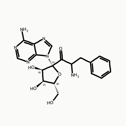 Nc1ncnc2c1ncn2[C@]1(C(=O)C(N)Cc2ccccc2)O[C@H](CO)[C@@H](O)[C@H]1O